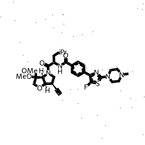 C#C[C@@H]1CN(C(=O)C(CC(C)C)NC(=O)c2ccc(-c3nc(N4CCN(C)CC4)sc3F)cc2)[C@H]2[C@@H]1OCC2(OC)OC